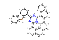 c1ccc2c(-c3nc(-c4cccc5c4sc4ccccc45)nc(-c4cccc5ccc6ccccc6c45)n3)cccc2c1